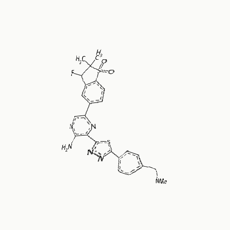 CNCc1ccc(-c2nnc(-c3nc(-c4ccc5c(c4)C(F)C(C)(C)S5(=O)=O)cnc3N)s2)cc1